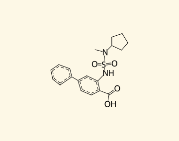 CN(C1CCCC1)S(=O)(=O)Nc1cc(-c2ccccc2)ccc1C(=O)O